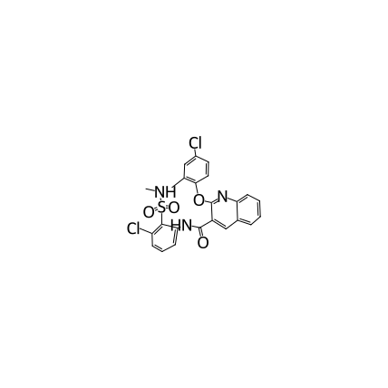 CNS(=O)(=O)c1c(Cl)cccc1NC(=O)c1cc2ccccc2nc1Oc1ccc(Cl)cc1C